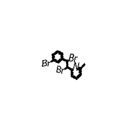 Cc1cccc(C(Br)C(Br)c2cccc(Br)c2)n1